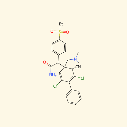 CCS(=O)(=O)c1ccc(C(C(N)=O)C2(CN(C)C)C=C(Cl)C(c3ccccc3)=C(Cl)C2C#N)cc1